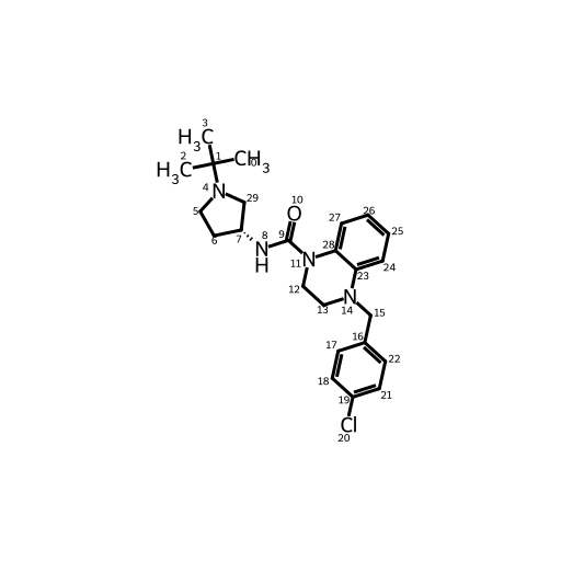 CC(C)(C)N1CC[C@@H](NC(=O)N2CCN(Cc3ccc(Cl)cc3)c3ccccc32)C1